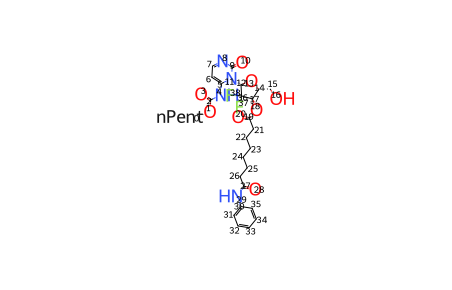 CCCCCOC(=O)Nc1ccnc(=O)n1[C@@H]1O[C@H](CO)[C@@H](OC(=O)CCCCCCC(=O)Nc2ccccc2)C1(F)F